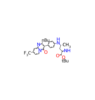 CCCCc1nc2cc(C(F)(F)F)ccn2c(=O)c1-c1ccc(N[C@H](C)CC(=N)C(=O)OC(C)(C)C)cc1